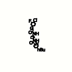 CCCCc1ccc(C(=O)NC23CC(C2)C(NC(=O)COc2ccc(Cl)c(F)c2)C3)nc1